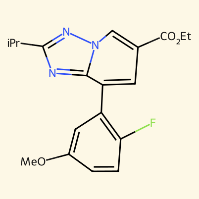 CCOC(=O)c1cc(-c2cc(OC)ccc2F)c2nc(C(C)C)nn2c1